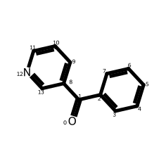 O=C(c1ccccc1)c1c[c]cnc1